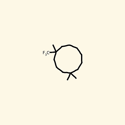 CC1(C)CCCCCCC(C)(C(F)(F)F)CCC1